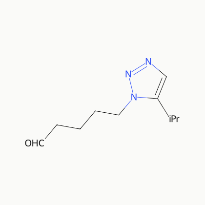 CC(C)c1cnnn1CCCCC=O